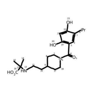 CC(C)c1cc(C(=O)N2CCC(CCNC(C)(C)C(=O)O)CC2)c(O)cc1O